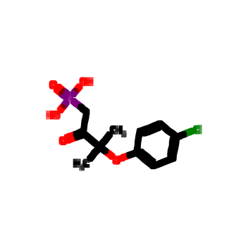 CC(C)(Oc1ccc(Cl)cc1)C(=O)CP(=O)(O)O